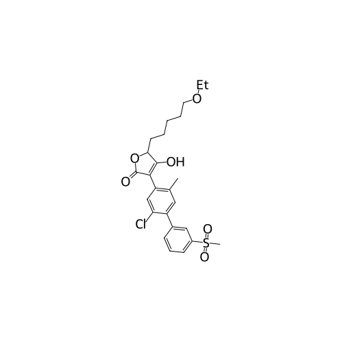 CCOCCCCCC1OC(=O)C(c2cc(Cl)c(-c3cccc(S(C)(=O)=O)c3)cc2C)=C1O